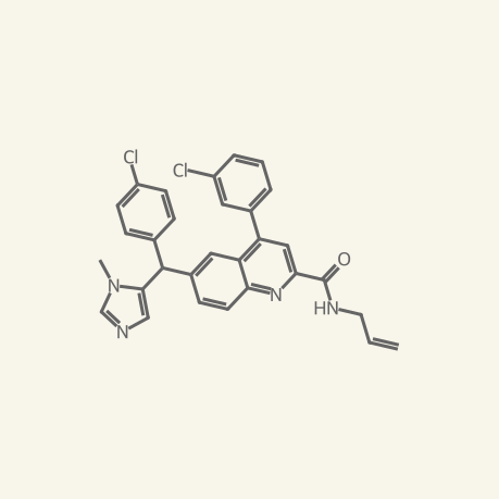 C=CCNC(=O)c1cc(-c2cccc(Cl)c2)c2cc(C(c3ccc(Cl)cc3)c3cncn3C)ccc2n1